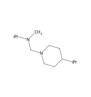 CC(C)C1CCN(CN(C)C(C)C)CC1